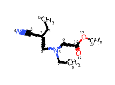 CC/C(C#N)=C\N(CC)CC(=O)OC